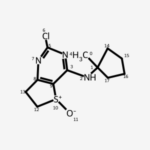 CC1(Nc2nc(Cl)nc3c2[S+]([O-])CC3)CCCC1